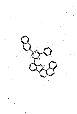 c1ccc(-c2nc(-c3ccc4ccccc4c3)nc(-c3cccc4c3[se]c3c4ccc4ccc5ccccc5c43)n2)cc1